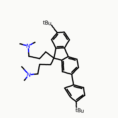 CN(C)CCCC1(CCCN(C)C)c2cc(-c3ccc(C(C)(C)C)cc3)ccc2-c2ccc(C(C)(C)C)cc21